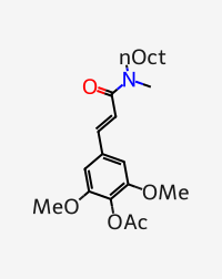 CCCCCCCCN(C)C(=O)/C=C/c1cc(OC)c(OC(C)=O)c(OC)c1